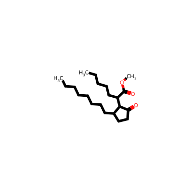 CCCCCCCCC1CCC(=O)C1C(CCCCC)C(=O)OC